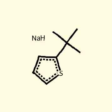 CC(C)(C)c1cccs1.[NaH]